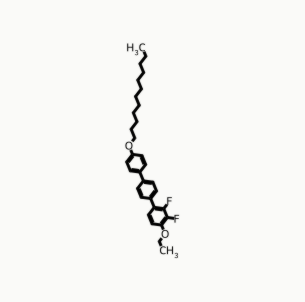 CCCCCCCCCCCCOc1ccc(-c2ccc(-c3ccc(OCC)c(F)c3F)cc2)cc1